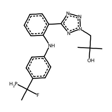 CC(C)(O)Cn1nnc(-c2ccccc2Nc2ccc(C(C)(F)P)cc2)n1